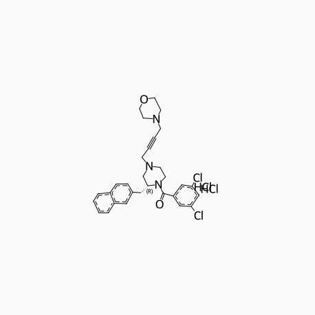 Cl.Cl.O=C(c1cc(Cl)cc(Cl)c1)N1CCN(CC#CCN2CCOCC2)C[C@H]1Cc1ccc2ccccc2c1